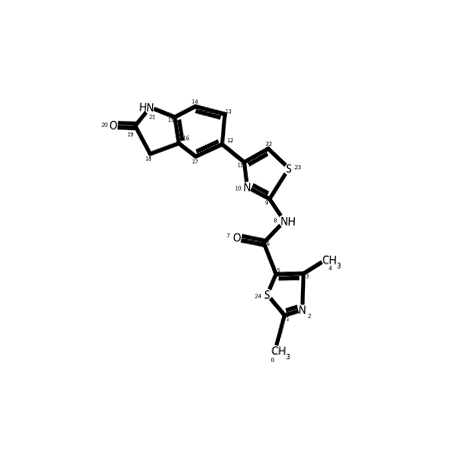 Cc1nc(C)c(C(=O)Nc2nc(-c3ccc4c(c3)CC(=O)N4)cs2)s1